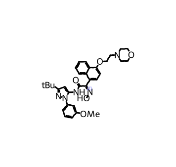 COc1cccc(-n2nc(C(C)(C)C)cc2NC(=O)/C(=N\O)c2ccc(OCCN3CCOCC3)c3ccccc23)c1